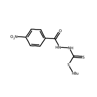 CCCCSC(=S)NNC(=O)c1ccc([N+](=O)[O-])cc1